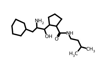 CC(C)CCNC(=O)C1CCCC1C(O)C(N)CC1CCCCC1